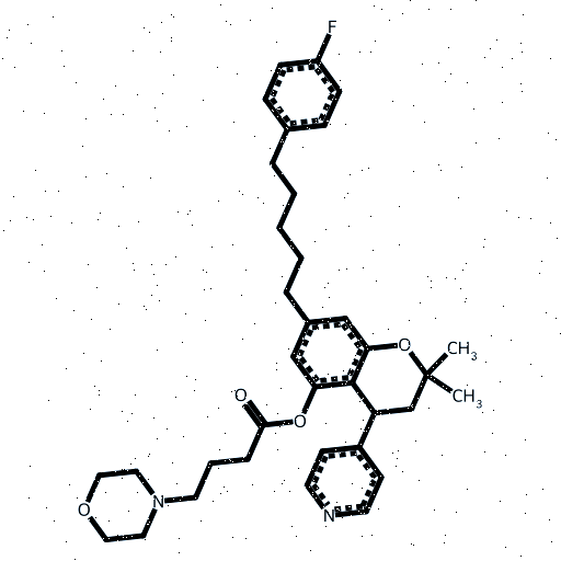 CC1(C)CC(c2ccncc2)c2c(OC(=O)CCCN3CCOCC3)cc(CCCCCc3ccc(F)cc3)cc2O1